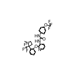 CN1CCC1(c1ccccc1Oc1ncccc1NC(=O)Nc1ccc(OC(F)(F)F)cc1)C(F)(F)F